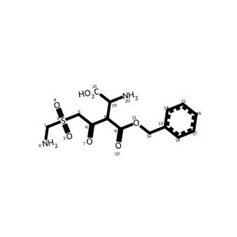 NCS(=O)(=O)CC(=O)C(C(=O)OCc1ccccc1)C(N)C(=O)O